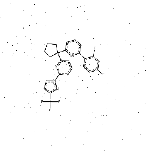 Fc1ccc(-c2cccc(C3(c4cccc(-n5ccc(C(F)(F)F)n5)n4)CCCC3)n2)c(F)n1